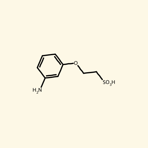 Nc1cccc(OCCS(=O)(=O)O)c1